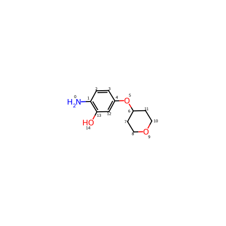 Nc1ccc(OC2CCOCC2)cc1O